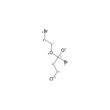 [O]C(Br)(CCCl)OCCBr